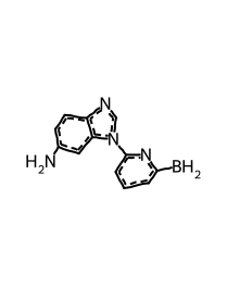 Bc1cccc(-n2cnc3ccc(N)cc32)n1